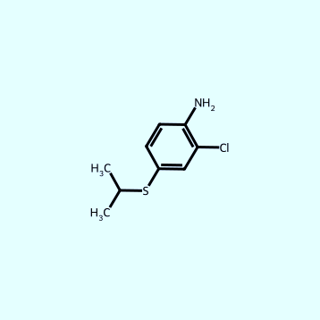 CC(C)Sc1ccc(N)c(Cl)c1